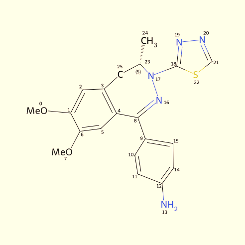 COc1cc2c(cc1OC)C(c1ccc(N)cc1)=NN(c1nncs1)[C@@H](C)C2